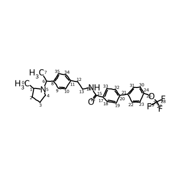 CC1CCCN1C(C)c1ccc(CCNC(=O)c2ccc(-c3ccc(OC(F)(F)F)cc3)cc2)cc1